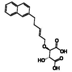 O=C(O)[C@H](O)[C@@H](OCC=CCCc1ccc2ccccc2c1)C(=O)O